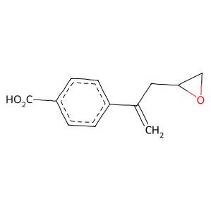 C=C(CC1CO1)c1ccc(C(=O)O)cc1